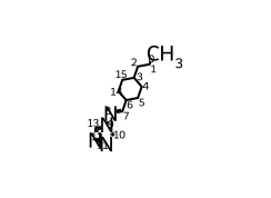 CCCC1CCC(/C=N/n2cnnc2)CC1